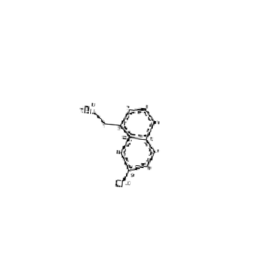 CC(C)(C)Cc1cccc2ccc(Cl)cc12